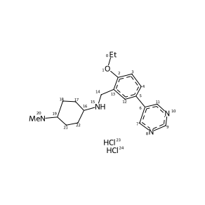 CCOc1ccc(-c2cncnc2)cc1CNC1CCC(NC)CC1.Cl.Cl